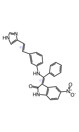 O=C1Nc2ccc([N+](=O)[O-])cc2/C1=C(/Nc1cccc(/C=C/c2c[nH]cn2)c1)c1ccccc1